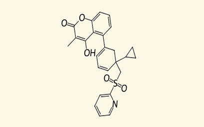 Cc1c(O)c2c(C3=CC=CC(CS(=O)(=O)c4ccccn4)(C4CC4)C3)cccc2oc1=O